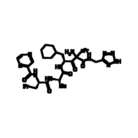 CCCC(N)(C(=O)NCc1nn[nH]n1)C(=O)[C@H](CC1CCCCC1)NC(=O)[C@@H](NC(=O)[C@H](CC(C)C)NC(=O)c1cnccn1)[C@@H](C)CC